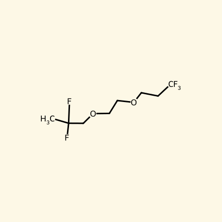 CC(F)(F)COCCOCCC(F)(F)F